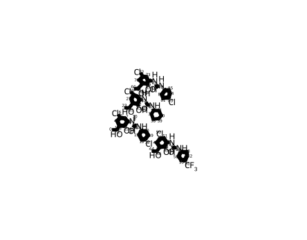 CC(O)c1cc(Cl)cc(N(I)C(=O)Nc2ccc(Cl)cc2)c1O.CC(O)c1cc(Cl)cc(NC(=O)NC2CCCCC2)c1O.CC(O)c1cc(Cl)cc(NC(=O)Nc2ccc(C(F)(F)F)cc2)c1O.CC(O)c1cc(Cl)cc(NC(=O)Nc2ccc(Cl)cc2)c1O